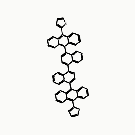 c1csc(-c2c3ccccc3c(-c3ccc(-c4ccc(-c5c6ccccc6c(-c6cccs6)c6ccccc56)c5ccccc45)c4ccccc34)c3ccccc23)c1